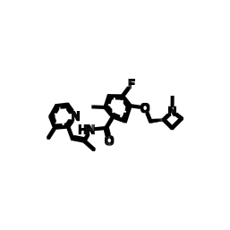 C/C(=C/c1ncccc1C)NC(=O)c1cc(OC[C@@H]2CCN2C)c(F)cc1C